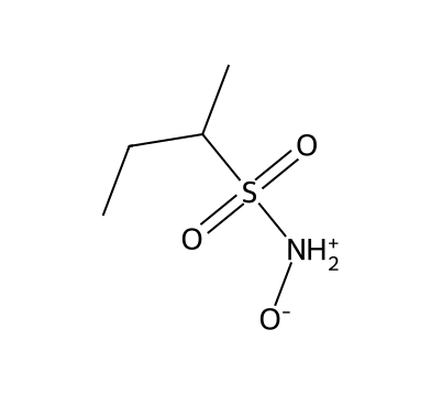 CCC(C)S(=O)(=O)[NH2+][O-]